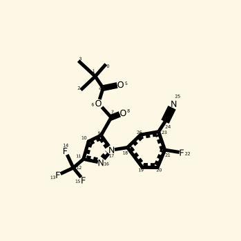 CC(C)(C)C(=O)OC(=O)c1cc(C(F)(F)F)nn1-c1ccc(F)c(C#N)c1